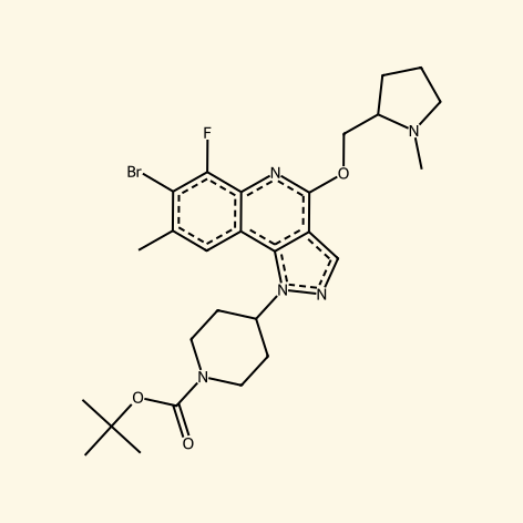 Cc1cc2c(nc(OCC3CCCN3C)c3cnn(C4CCN(C(=O)OC(C)(C)C)CC4)c32)c(F)c1Br